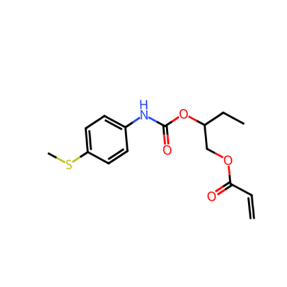 C=CC(=O)OCC(CC)OC(=O)Nc1ccc(SC)cc1